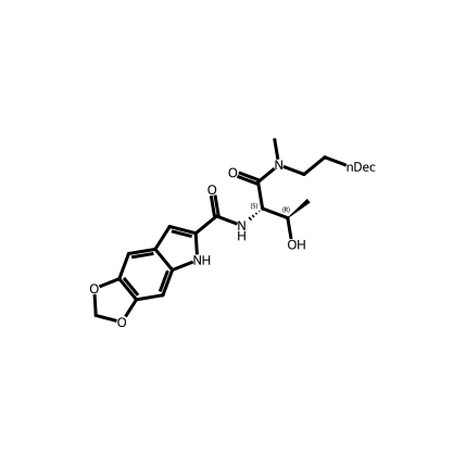 CCCCCCCCCCCCN(C)C(=O)[C@@H](NC(=O)c1cc2cc3c(cc2[nH]1)OCO3)[C@@H](C)O